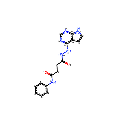 O=C(CCC(=O)Nc1ccccc1)NNc1ncnc2[nH]ccc12